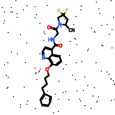 N#CC1CC(F)(F)CN1C(=O)CNC(=O)c1ccnc2c(OCCCCc3ccccc3)cccc12